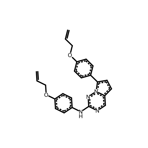 C=CCOc1ccc(Nc2ncc3ccc(-c4ccc(OCC=C)cc4)n3n2)cc1